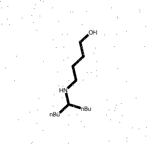 CCCCC(CCCC)NCCCCO